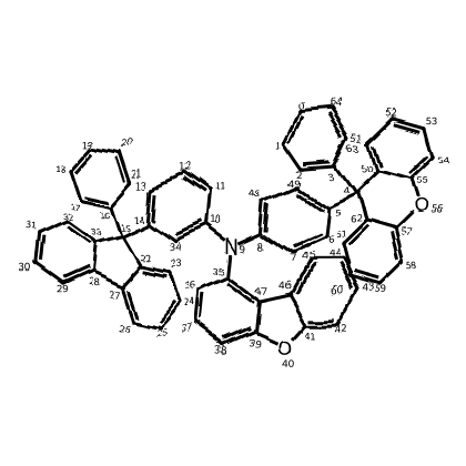 c1ccc(C2(c3ccc(N(c4cccc(C5(c6ccccc6)c6ccccc6-c6ccccc65)c4)c4cccc5oc6ccccc6c45)cc3)c3ccccc3Oc3ccccc32)cc1